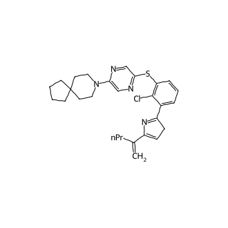 C=C(CCC)C1=CCC(c2cccc(Sc3cnc(N4CCC5(CCCC5)CC4)cn3)c2Cl)=N1